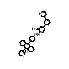 N=C1C=C(c2cccc(-c3cccnc3)c2)C=C/C1=N/Nc1ccc(C2=c3ccccc3=C(c3cccnc3)[C@@H]3C=CC=CC23)cc1